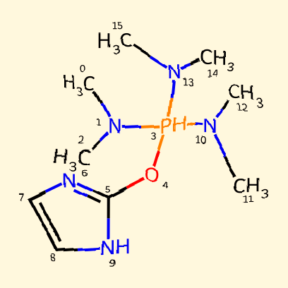 CN(C)[PH](Oc1ncc[nH]1)(N(C)C)N(C)C